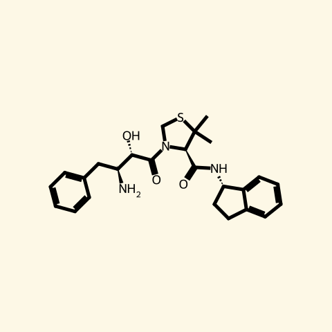 CC1(C)SCN(C(=O)[C@@H](O)[C@@H](N)Cc2ccccc2)[C@@H]1C(=O)N[C@H]1CCc2ccccc21